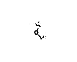 Cc1nc(N)c2nc(-c3cccc(C#C[C@@](C)(O)c4c[nH]cn4)c3)ccc2n1